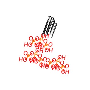 O=P(O)(O)OP(=O)(O)OP(=O)(O)O.O=P(O)(O)OP(=O)(O)OP(=O)(O)O.O=P(O)(O)OP(=O)(O)OP(=O)(O)O.[AlH3].[AlH3].[AlH3].[AlH3].[AlH3].[Zn]